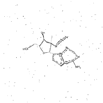 C[C@@]1(N=[N+]=[N-])[C@H](O)[C@@H](CO)O[C@H]1c1ccc2c(N)ncnn12